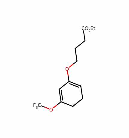 CCOC(=O)CCCOC1=CCCC(OC(F)(F)F)=C1